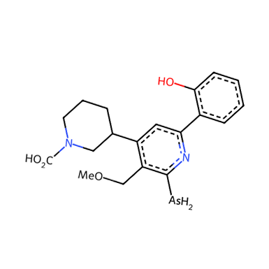 COCc1c(C2CCCN(C(=O)O)C2)cc(-c2ccccc2O)nc1[AsH2]